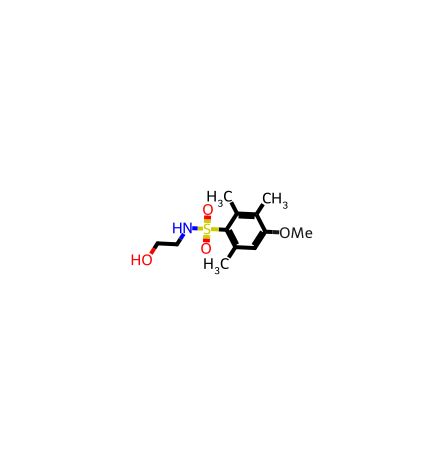 COc1cc(C)c(S(=O)(=O)NCCO)c(C)c1C